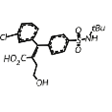 CC(C)(C)NS(=O)(=O)c1ccc(/C(=C(\CCO)C(=O)O)c2cccc(Cl)c2)cc1